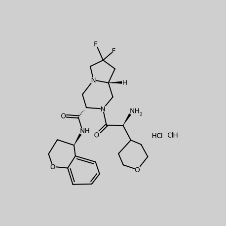 Cl.Cl.N[C@H](C(=O)N1C[C@H]2CC(F)(F)CN2C[C@H]1C(=O)N[C@@H]1CCOc2ccccc21)C1CCOCC1